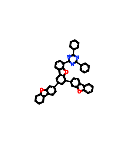 c1ccc(-c2nc(-c3ccccc3)nc(-c3cccc4c3oc3c(-c5ccc6c(c5)oc5ccccc56)cc(-c5ccc6c(c5)oc5ccccc56)cc34)n2)cc1